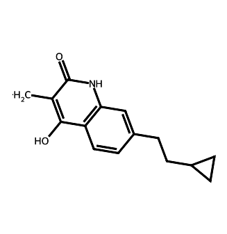 [CH2]c1c(O)c2ccc(CCC3CC3)cc2[nH]c1=O